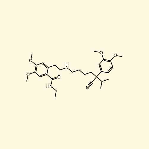 CCNC(=O)c1cc(OC)c(OC)cc1CCNCCCCC(C#N)(c1ccc(OC)c(OC)c1)C(C)C